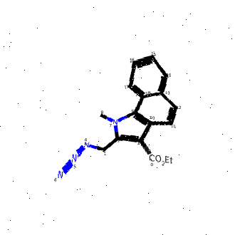 CCOC(=O)c1c(CN=[N+]=[N-])n(C)c2c1ccc1ccccc12